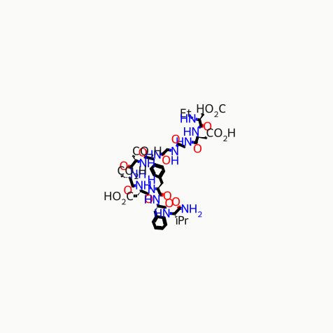 CCN[C@@H](CC(=O)O)C(=O)N[C@@H](CC(=O)O)C(=O)NCC(=O)NCC(=O)NCC(=O)N[C@@H](CC(=O)O)C(=O)N[C@@H](CC(=O)O)C(=O)N[C@@H](CC(=O)O)C(=O)N[C@@H](Cc1ccccc1)C(=O)N[C@@H](Cc1ccccc1)C(=O)N[C@H](C(N)=O)C(C)C